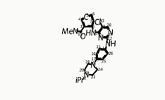 CNC(=O)c1ccccc1Nc1nc(Nc2ccc(N3CCN(C(C)C)CC3)cc2)ncc1Cl